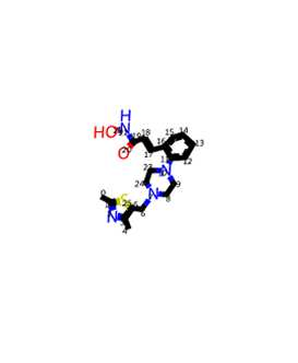 Cc1nc(C)c(CN2CCN(c3ccccc3C=CC(=O)NO)CC2)s1